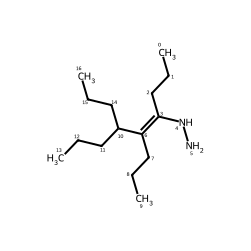 CCCC(NN)=C(CCC)C(CCC)CCC